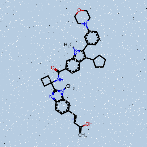 C=C(O)/C=C/c1ccc2nc(C3(NC(=O)c4ccc5c(C6CCCC6)c(-c6cccc(N7CCOCC7)c6)n(C)c5c4)CCC3)n(C)c2c1